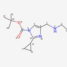 CCNCc1cn(C(=O)OC(C)(C)C)c(C2CC2)n1